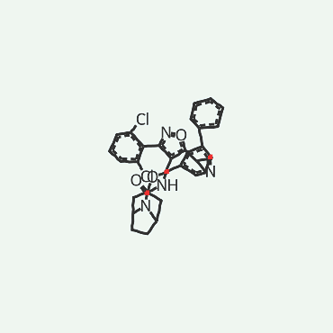 O=C(NCc1cncc(-c2ccccc2)c1)N1C2CCC1CC(OCc1c(-c3c(Cl)cccc3Cl)noc1C1CC1)C2